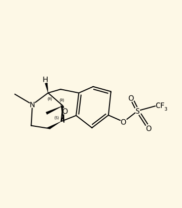 CN1CC[C@]23CCCO[C@@]2(C)[C@H]1Cc1ccc(OS(=O)(=O)C(F)(F)F)cc13